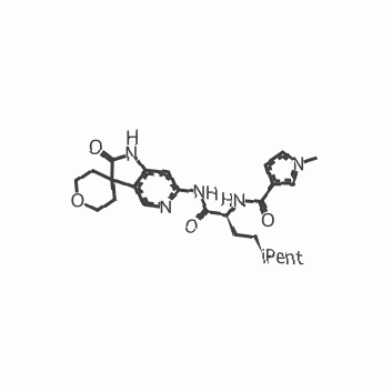 CCC[C@H](C)CC[C@H](NC(=O)c1ccn(C)c1)C(=O)Nc1cc2c(cn1)C1(CCOCC1)C(=O)N2